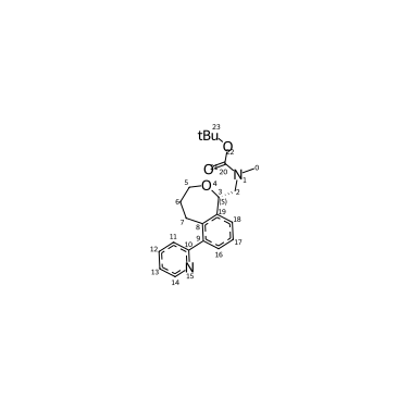 CN(C[C@H]1OCCCc2c(-c3ccccn3)cccc21)C(=O)OC(C)(C)C